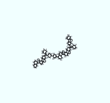 c1ccc(N(c2ccc(-c3ccc(-c4cccc5c4ccc4oc6c(ccc7oc8cc(N(c9ccccc9)c9ccc%10c(c9)oc9ccccc9%10)ccc8c76)c45)cc3)cc2)c2ccc3c(c2)oc2ccc4c(oc5ccc6ccccc6c54)c23)cc1